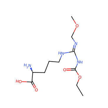 CCOC(=O)N/C(=N/COC)NCCC[C@H](N)C(=O)O